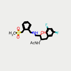 CC(=O)N[C@@H](Cc1cc(F)cc(F)c1)[C@H](O)CNCc1ccccc1CS(C)(=O)=O